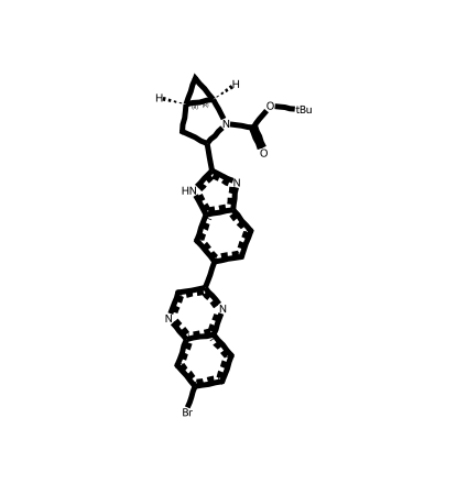 CC(C)(C)OC(=O)N1C(c2nc3ccc(-c4cnc5cc(Br)ccc5n4)cc3[nH]2)C[C@H]2C[C@H]21